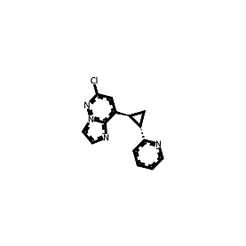 Clc1cc([C@H]2C[C@@H]2c2ccccn2)c2nccn2n1